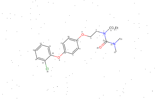 CCOC(=O)N(CCOc1ccc(Oc2ccccc2Cl)cc1)C(=O)N(C)C